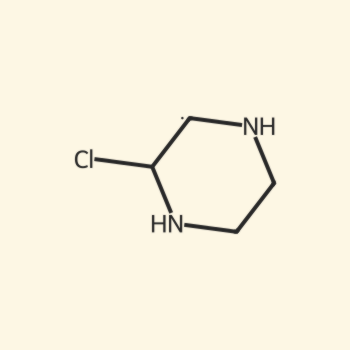 ClC1[CH]NCCN1